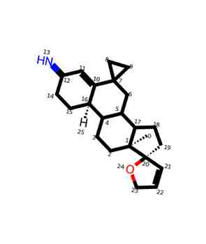 C[C@]12CCC3C(CC4(CC4)C4=CC(=N)CC[C@@H]43)C1CC[C@@]21C=CCO1